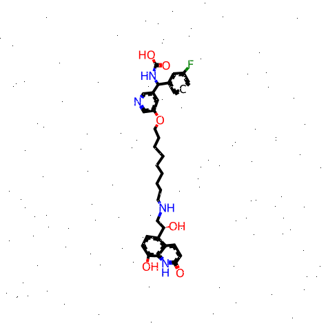 O=C(O)NC(c1cccc(F)c1)c1cncc(OCCCCCCCCCNC[C@H](O)c2ccc(O)c3[nH]c(=O)ccc23)c1